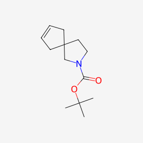 CC(C)(C)OC(=O)N1CCC2(CC=CC2)C1